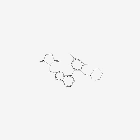 O=C1CCC(=O)N1Cc1cc2nccc(-c3cc(Cl)cc(Cl)c3C[C@H]3CNCCO3)c2s1